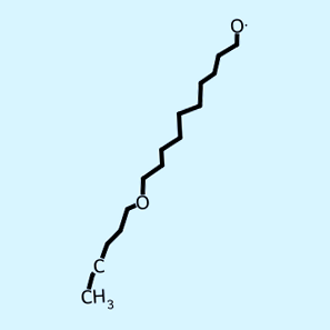 CCCCCCOCCCCCCCCCC[O]